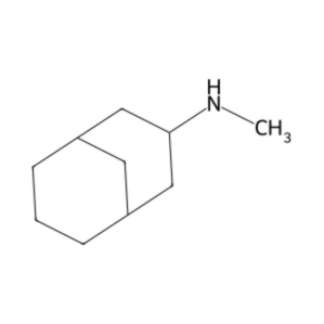 CNC1CC2CCCC(C2)C1